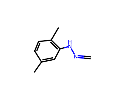 C=NNc1cc(C)ccc1C